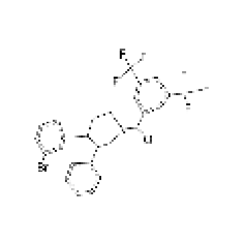 O=C(c1cc(C(F)(F)F)cc(C(F)(F)F)c1)N1CCC(c2cccc(Br)c2)C(c2ccccc2)C1